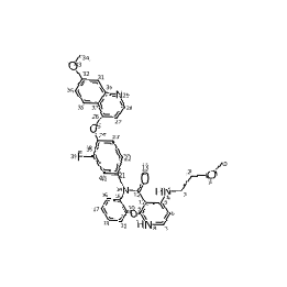 COCCNc1cc[nH]c(=O)c1C(=O)N(c1ccccc1)c1ccc(Oc2ccnc3cc(OC)ccc23)c(F)c1